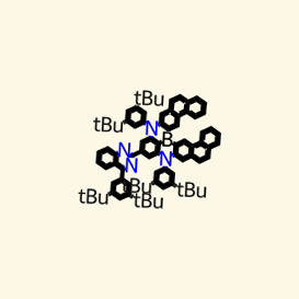 CC(C)(C)c1cc(-c2nc(-c3cc4c5c(c3)N(c3cc(C(C)(C)C)cc(C(C)(C)C)c3)c3cc6ccc7ccccc7c6cc3B5c3cc5c(ccc6ccccc65)cc3N4c3cc(C(C)(C)C)cc(C(C)(C)C)c3)nc3ccccc23)cc(C(C)(C)C)c1